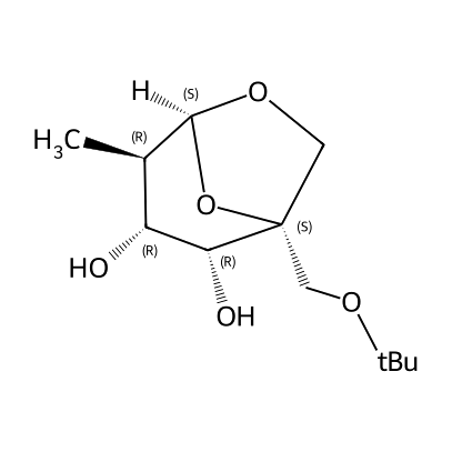 C[C@H]1[C@H]2OC[C@](COC(C)(C)C)(O2)[C@H](O)[C@@H]1O